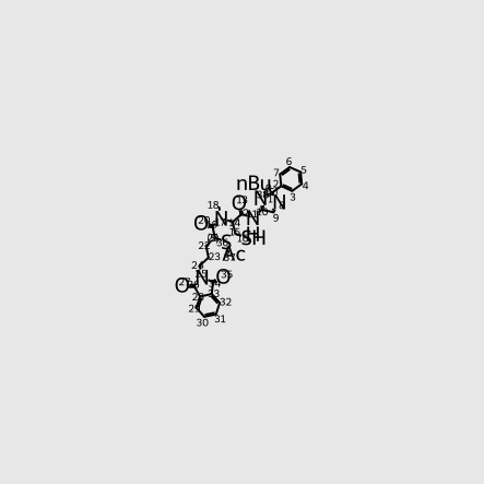 CCCC[C@]1(c2ccccc2)N=CC(NC(=O)C(CS)N(C)C(=O)[C@H](CCCN2C(=O)c3ccccc3C2=O)SC(C)=O)=N1